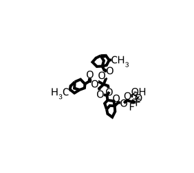 CC1C=C2CCCC(C(=O)OCC3(COC(=O)C4CC5CC(C)CC(C5)C4)COC(C4CC5CCCC(C(=O)OCC(F)(F)S(=O)(=O)O)(C5)C4)OC3)(C2)C1